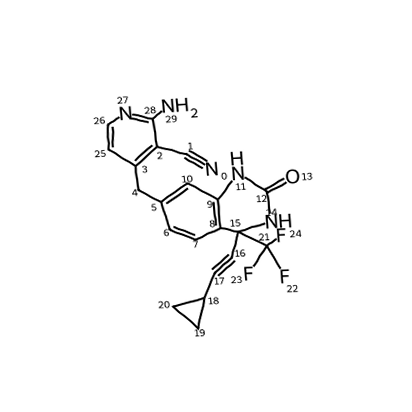 N#Cc1c(Cc2ccc3c(c2)NC(=O)NC3(C#CC2CC2)C(F)(F)F)ccnc1N